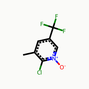 Cc1cc(C(F)(F)F)c[n+]([O-])c1Cl